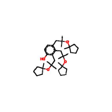 CC(C)(Cc1ccc(O)c(CC(C)(C)OC2(C)CCCC2)c1CC(C)(C)OC1(C)CCCC1)OC1(C)CCCC1